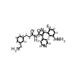 NCc1cccc(CCC(=O)Nc2onc(-c3cc(CN)ccc3F)c2-c2ccncc2)c1